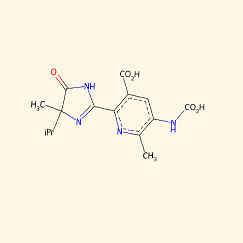 Cc1nc(C2=NC(C)(C(C)C)C(=O)N2)c(C(=O)O)cc1NC(=O)O